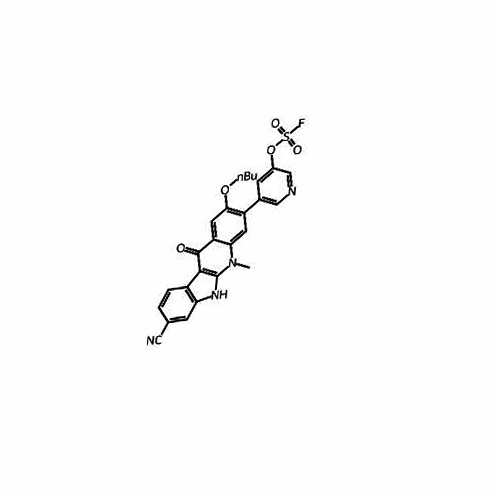 CCCCOc1cc2c(=O)c3c4ccc(C#N)cc4[nH]c3n(C)c2cc1-c1cncc(OS(=O)(=O)F)c1